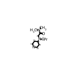 CCCN(CC(=O)N(C)C)C1CC[N]CC1